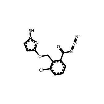 [N-]=[N+]=NC(=O)c1cccc(Cl)c1COc1ccn(S)n1